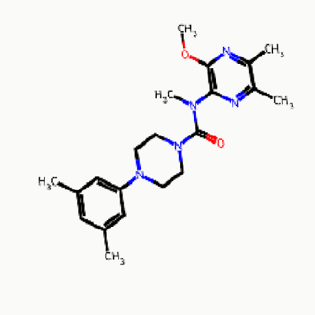 COc1nc(C)c(C)nc1N(C)C(=O)N1CCN(c2cc(C)cc(C)c2)CC1